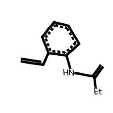 C=Cc1ccccc1NC(=C)CC